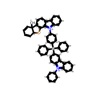 CC12C=CC=CC1Sc1c2ccc2c3ccccc3n(-c3ccc([Si](c4ccccc4)(c4ccccc4)c4ccc5c(c4)c4ccccc4n5-c4ccccc4)cc3)c12